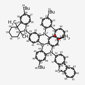 Cc1cc2c3c(c1)N(c1ccc(C(C)(C)C)cc1-c1ccccc1)c1cc(N4c5ccc(C(C)(C)C)cc5C5(C)CCCCC45C)ccc1B3c1ccc(C(C)(C)C)cc1N2c1ccc2c(c1)sc1ccccc12